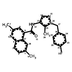 Cc1ccc2nc(C)cc(C(=O)Nc3cnn(Cc4ccc(F)cc4)c3C)c2c1